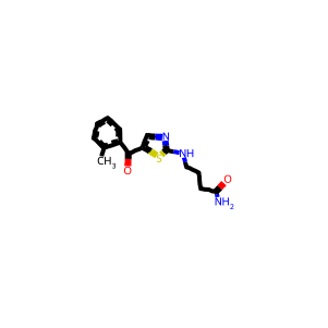 Cc1ccccc1C(=O)c1cnc(NCCCC(N)=O)s1